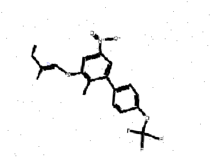 CC/C(C)=C/Sc1cc([N+](=O)[O-])cc(-c2ccc(OC(F)(F)F)cc2)c1C